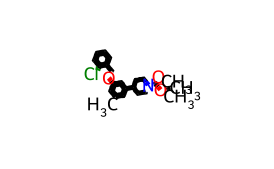 Cc1cc(OCc2ccccc2Cl)cc(C2CCN(C(=O)OC(C)(C)C)CC2)c1